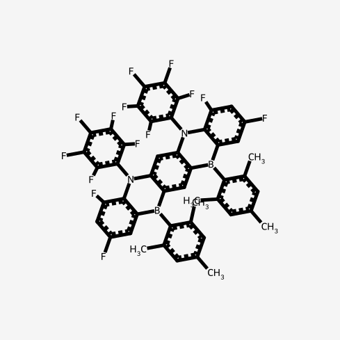 Cc1cc(C)c(B2c3cc4c(cc3N(c3c(F)c(F)c(F)c(F)c3F)c3c(F)cc(F)cc32)N(c2c(F)c(F)c(F)c(F)c2F)c2c(F)cc(F)cc2B4c2c(C)cc(C)cc2C)c(C)c1